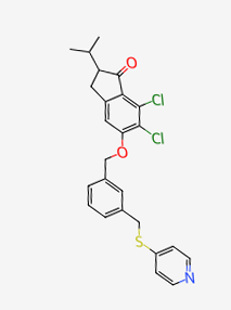 CC(C)C1Cc2cc(OCc3cccc(CSc4ccncc4)c3)c(Cl)c(Cl)c2C1=O